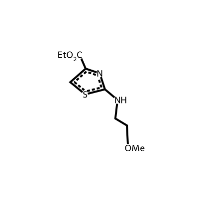 CCOC(=O)c1csc(NCCOC)n1